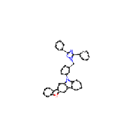 c1ccc(-c2nc(-c3ccccc3)n(Cc3cccc(-n4c5ccccc5c5cc6oc7ccccc7c6cc54)c3)n2)cc1